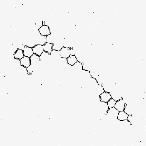 O=C1CCC(N2C(=O)c3ccc(OCCOCCOC4CCN(C[C@@H](CO)c5nc(N6CCNCC6)c6cc(Cl)c(-c7cc(O)cc8ccccc78)c(F)c6n5)CC4)cc3C2=O)C(=O)N1